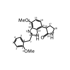 COc1ccccc1Cc1nc2c(OC)ccc(C3CCNC3=O)c2[nH]1